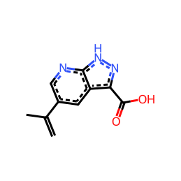 C=C(C)c1cnc2[nH]nc(C(=O)O)c2c1